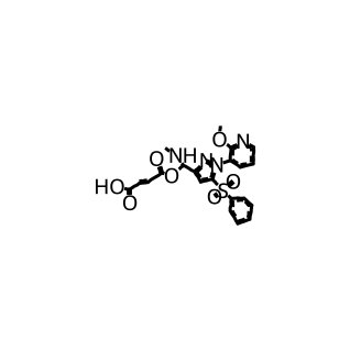 CNC(OC(=O)/C=C/C(=O)O)c1cc(S(=O)(=O)c2ccccc2)n(-c2cccnc2OC)n1